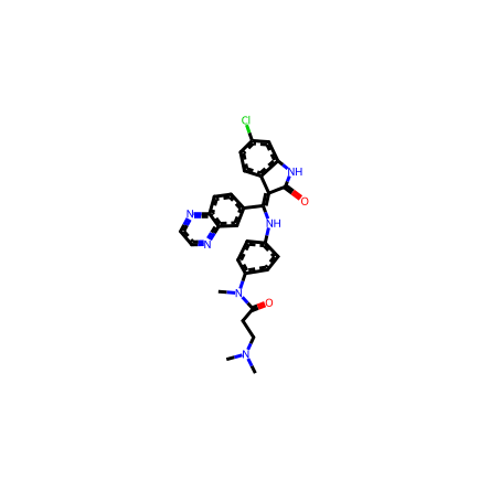 CN(C)CCC(=O)N(C)c1ccc(N/C(=C2\C(=O)Nc3cc(Cl)ccc32)c2ccc3nccnc3c2)cc1